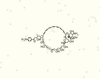 C[C@H]1/C=C/C=C/C=C/C=C\C=C/C=C/C=C/C(O[C@@H]2O[C@H](C)[C@@H](O)[C@H](N)[C@@H]2O)C[C@@H]2O[C@](O)(CC(O)C[C@@H](O)CC(O)CC(=O)CCCC(O)CC(=O)O[C@@H]1[C@@H](C)C[C@H](C)[C@@H](O)CC(=O)c1ccc(N)cc1)C[C@H](O)[C@H]2C(=O)O